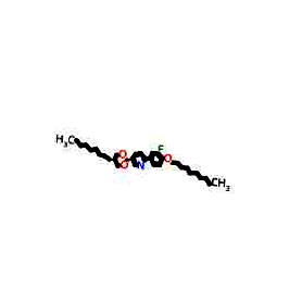 CCCCCCCCCCOc1ccc(-c2ccc([C@H]3OC[C@H](CCCCCCCCC)CO3)cn2)cc1F